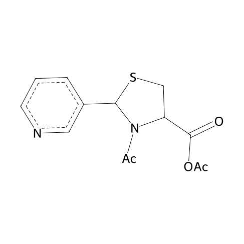 CC(=O)OC(=O)C1CSC(c2cccnc2)N1C(C)=O